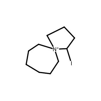 IC1CCC[N+]12CCCCCC2